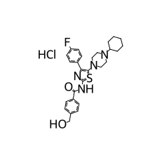 Cl.O=C(Nc1nc(-c2ccc(F)cc2)c(N2CCN(C3CCCCC3)CC2)s1)c1ccc(CO)cc1